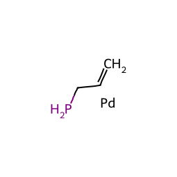 C=CCP.[Pd]